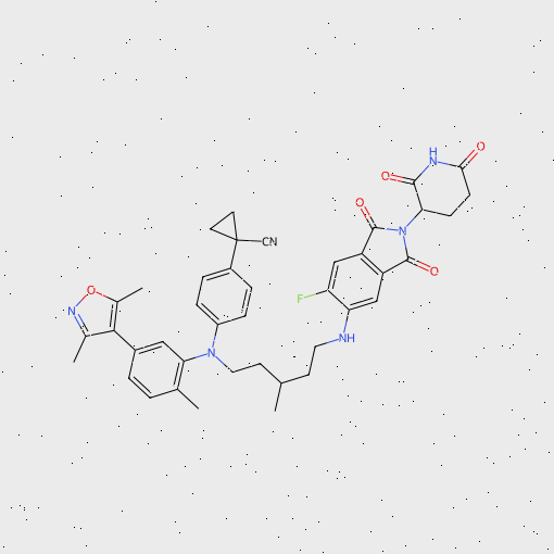 Cc1ccc(-c2c(C)noc2C)cc1N(CCC(C)CCNc1cc2c(cc1F)C(=O)N(C1CCC(=O)NC1=O)C2=O)c1ccc(C2(C#N)CC2)cc1